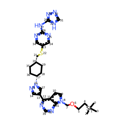 C[Si](C)(C)CCOCn1ccc2c(-c3cnn([C@H]4CC[C@@H](CSc5cnc(Nc6nnc[nH]6)nc5)CC4)c3)ncnc21